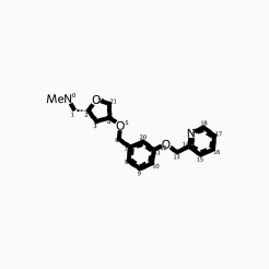 CNC[C@H]1CC(OCc2cccc(OCc3ccccn3)c2)CO1